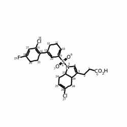 O=C(O)CCC1=CN(S(=O)(=O)C2=CCCC(C3=C(Cl)C=C(F)CC3)=C2)C2CC=C(Cl)CC12